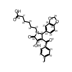 Cc1ccc(C(=O)C2=C(O)C(=O)N(CCCCCC(=O)O)C2c2ccc3c(c2)OCO3)cc1